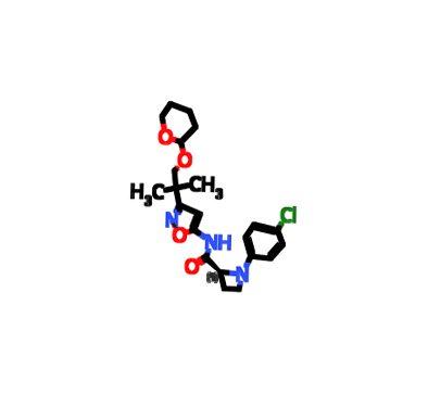 CC(C)(COC1CCCCO1)c1cc(NC(=O)[C@@H]2CCN2c2ccc(Cl)cc2)on1